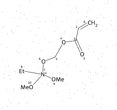 C=CC(=O)OCO[N+](CC)(OC)OC